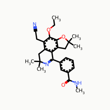 CCOc1c(CC#N)c2c(c3c1OC(C)(C)C3)C(c1cccc(C(=O)NC)c1)=NC(C)(C)C2